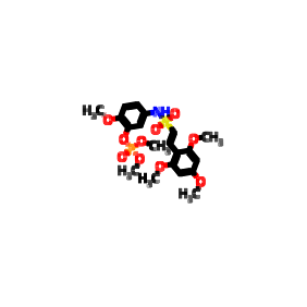 COc1cc(OC)c(C=CS(=O)(=O)Nc2ccc(OC)c(OP(=O)(OC)OC)c2)c(OC)c1